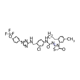 CCCc1ccc(C)cc1N1C(=O)CS/C1=N\C(=O)Nc1ccc(CNc2ncn(-c3ccc(OC(F)(F)F)cc3)n2)c(Cl)c1